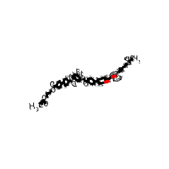 C=CC(=O)OCCCCOC(=O)C1CCC(C2CCC(C(=O)Oc3ccc(OC(=O)C4CCC(C5CCC(C(=O)OCCCCOC(=O)C=C)CC5)CC4)c(CC)c3)CC2)CC1